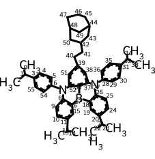 CC(C)c1ccc(N2c3ccc(C(C)C)cc3B3c4cc(C(C)C)ccc4N(c4ccc(C(C)C)cc4)c4cc(CCC5CC6CCCC(C6)C5)cc2c43)cc1